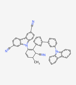 CC1C=CC(n2c3ccc(C#N)cc3c3ccc(C#N)cc32)=C(c2cccc(-c3cccc(-n4c5ccccc5c5ccccc54)c3)c2)C1C#N